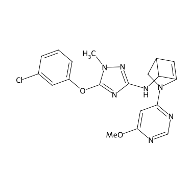 COc1cc(N2CC3C=C2C3Nc2nc(Oc3cccc(Cl)c3)n(C)n2)ncn1